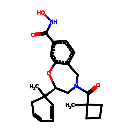 CC1(C(=O)N2Cc3ccc(C(=O)NO)cc3O[C@H](C3(C)C=CC=CC3)C2)CCC1